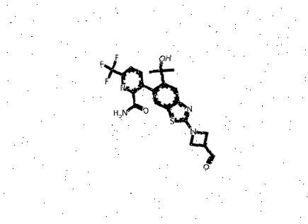 CC(C)(O)c1cc2nc(N3CC(C=O)C3)sc2cc1-c1ccc(C(F)(F)F)nc1C(N)=O